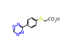 O=C(O)CSc1ccc(-c2nncnn2)cc1